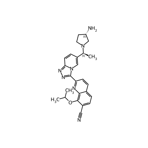 CC(C)Oc1c(C#N)ccc2ccc(-c3nnc4ccc([C@H](C)N5CC[C@H](N)C5)cn34)nc12